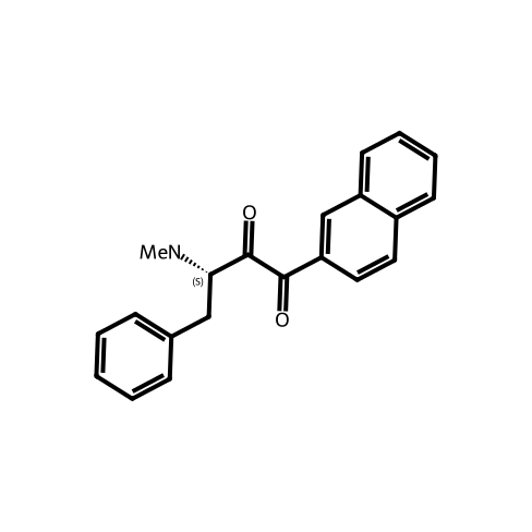 CN[C@@H](Cc1ccccc1)C(=O)C(=O)c1ccc2ccccc2c1